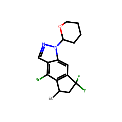 CCC1CC(F)(F)c2cc3c(cnn3C3CCCCO3)c(Br)c21